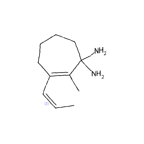 C/C=C\C1=C(C)C(N)(N)CCCC1